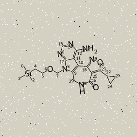 C[Si](C)(C)CCOCn1c2c(c3c(N)ncnc31)-c1noc(C3CC3)c1C(=O)NC2